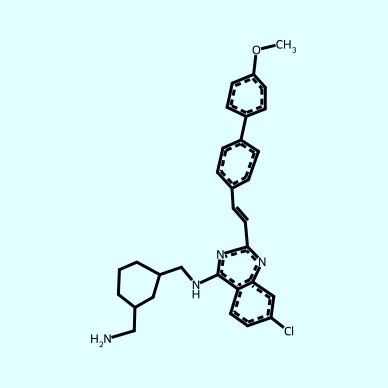 COc1ccc(-c2ccc(/C=C/c3nc(NCC4CCCC(CN)C4)c4ccc(Cl)cc4n3)cc2)cc1